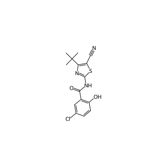 CC(C)(C)c1nc(NC(=O)c2cc(Cl)ccc2O)sc1C#N